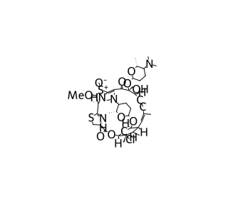 CO[C@H]1[S+]([O-])/C2=C/C(=O)[C@](C)(O[C@H]3CC[C@H](N(C)C)[C@@H](C)O3)[C@H](O)CC/C(C)=C\[C@@H]3[C@@H](C)[C@](C)(Cl)[C@@H](C[C@H]3O[C@H]3CC[C@H](N(C)C)[C@@H](C)O3)OC(=O)[C@@H]3CSC(=N3)[C@]1(C)N2